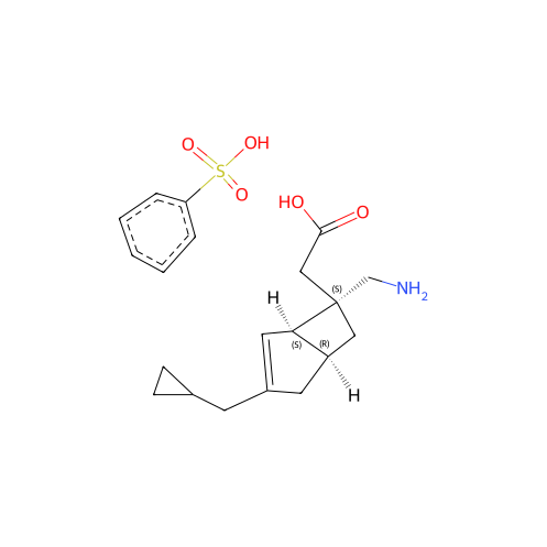 NC[C@]1(CC(=O)O)C[C@H]2CC(CC3CC3)=C[C@H]21.O=S(=O)(O)c1ccccc1